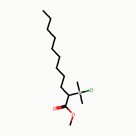 CCCCCCCCCC(C(=O)OC)[Si](C)(C)Cl